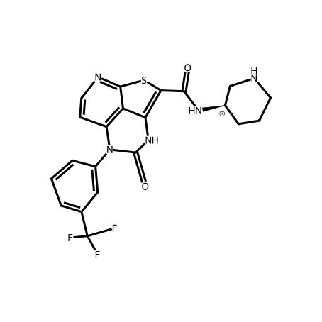 O=C(N[C@@H]1CCCNC1)c1sc2nccc3c2c1NC(=O)N3c1cccc(C(F)(F)F)c1